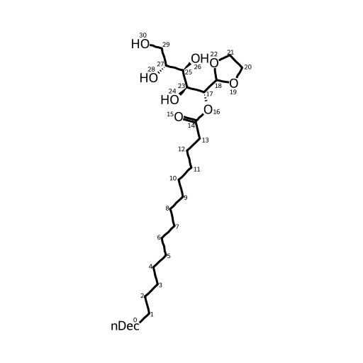 CCCCCCCCCCCCCCCCCCCCCCCC(=O)O[C@@H](C1OCCO1)[C@@H](O)[C@H](O)[C@H](O)CO